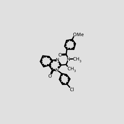 COc1ccc(C(=O)N(C)C(C)c2nc3ccccc3c(=O)n2-c2ccc(Cl)cc2)cc1